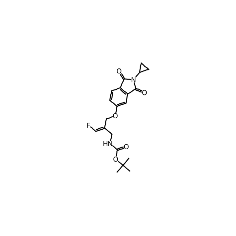 CC(C)(C)OC(=O)NC/C(=C/F)COc1ccc2c(c1)C(=O)N(C1CC1)C2=O